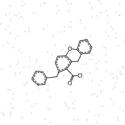 O=C(Cl)c1c(Cc2ccccc2)ccc2c1Cc1ccccc1O2